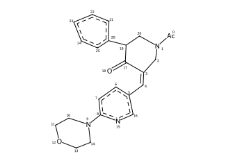 CC(=O)N1CC(=Cc2ccc(N3CCOCC3)nc2)C(=O)C(c2ccccc2)C1